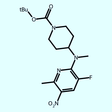 Cc1nc(N(C)C2CCN(C(=O)OC(C)(C)C)CC2)c(F)cc1[N+](=O)[O-]